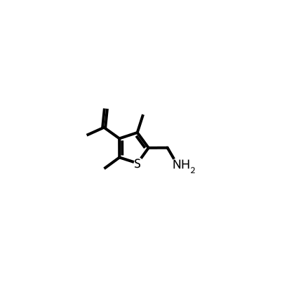 C=C(C)c1c(C)sc(CN)c1C